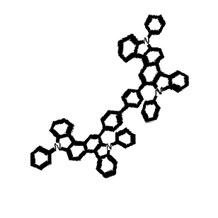 c1ccc(-n2c3ccccc3c3c4cc(-c5ccc(-c6ccc(-c7cc8c(ccc9c8c8ccccc8n9-c8ccccc8)c8c9ccccc9n(-c9ccccc9)c78)cc6)cc5)c5c(c4ccc32)c2ccccc2n5-c2ccccc2)cc1